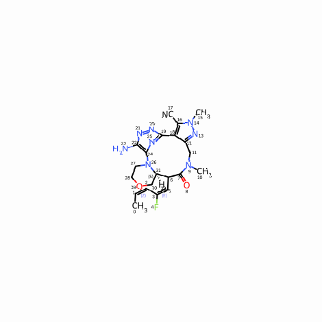 C/C=C\C(F)=C/C1C(=O)N(C)Cc2nn(C)c(C#N)c2-c2nnc(N)c(n2)N2CCOC[C@H]12